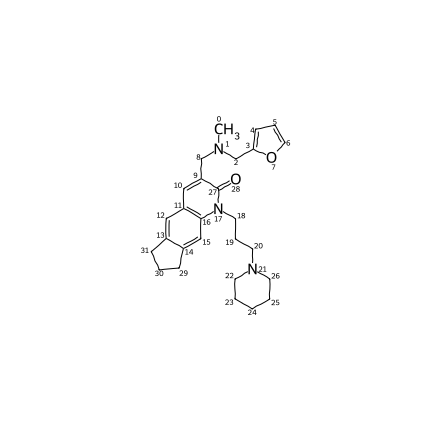 CN(Cc1ccco1)Cc1cc2cc3c(cc2n(CCCN2CCCCC2)c1=O)CCC3